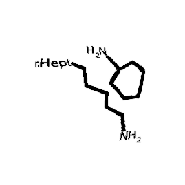 CCCCCCCCCCCCN.NC1CCCCC1